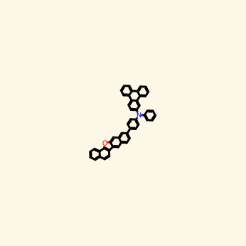 c1ccc(N(c2ccc(-c3ccc4cc5c(cc4c3)oc3c4ccccc4ccc53)cc2)c2ccc3c4ccccc4c4ccccc4c3c2)cc1